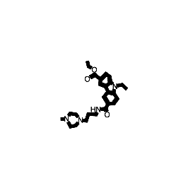 CCOC(=O)c1ccc2c(c1)c1cc(C(=O)NCCCN3CCN(C)CC3)ccc1n2CC